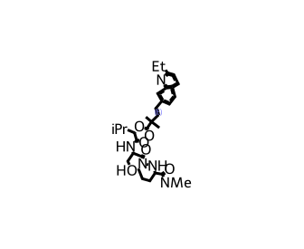 CCc1ccc2ccc(/C=C/C(C)(C)C(=O)OC(C(=O)NC(CO)C(=O)N3CCCC(C(=O)NC)N3)C(C)C)cc2n1